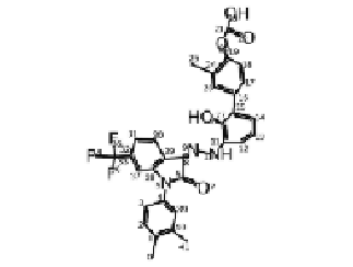 Cc1ccc(N2C(=O)C(=NNc3cccc(-c4ccc(OC(=O)O)c(C)c4)c3O)c3ccc(C(F)(F)F)cc32)cc1C